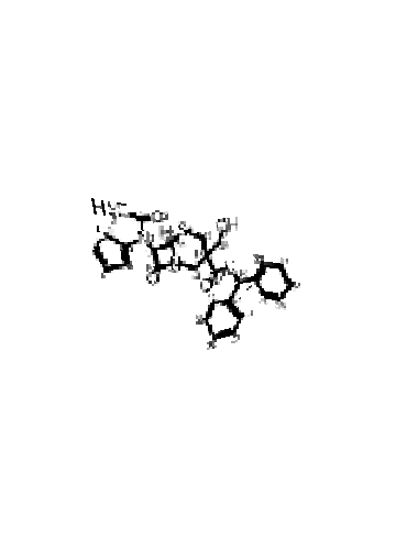 CC(=O)N(c1cccs1)C1C(=O)N2CC(CO)(C(=O)OC(c3ccccc3)c3ccccc3)CS[C@H]12